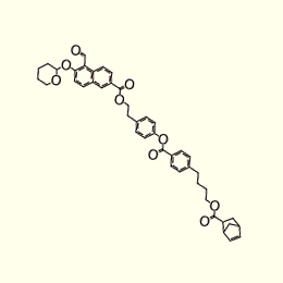 O=Cc1c(OC2CCCCO2)ccc2cc(C(=O)OCCc3ccc(OC(=O)c4ccc(CCCCOC(=O)C5CC6C=CC5C6)cc4)cc3)ccc12